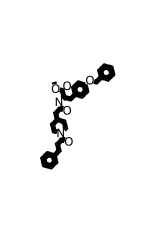 COC(=O)/C(Cc1ccc(OCc2ccccc2)cc1)=N/C(=O)CC1CCN(C(=O)CCc2ccccc2)CC1